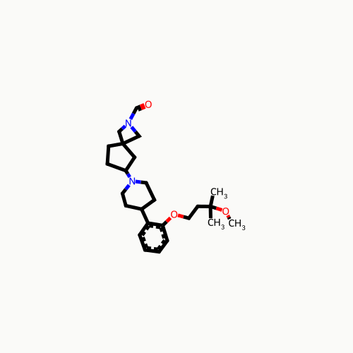 COC(C)(C)CCOc1ccccc1C1CCN(C2CCC3(C2)CN(C=O)C3)CC1